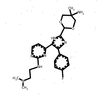 CN(C)CCNc1nccc(-c2[nH]c(C3OCC(C)(N)CO3)nc2-c2ccc(F)cc2)n1